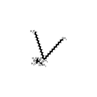 CCC(Br)(CC)C(=O)NC(N)=O.CCCCCCCCCCCCCCCCCCC(C)C(C)CCCCCCCCCCCCCCCCCC